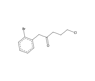 O=C(CCCCl)Cc1ccccc1Br